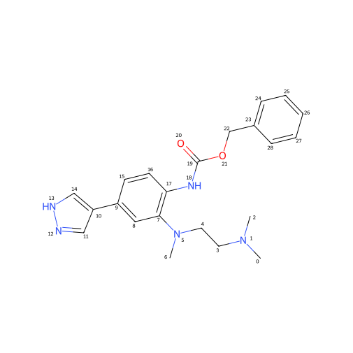 CN(C)CCN(C)c1cc(-c2cn[nH]c2)ccc1NC(=O)OCc1ccccc1